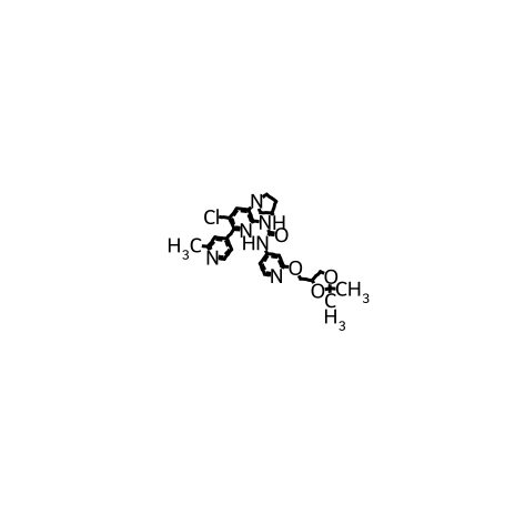 Cc1cc(-c2nc3c(cc2Cl)N2CC[C@@H](C2)N3C(=O)Nc2ccnc(OCC3COC(C)(C)O3)c2)ccn1